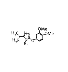 CCn1c(Oc2ccc(OC)c(OC)c2)nnc1[C@@H](C)N